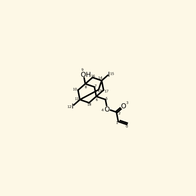 C=CC(=O)OCC12CC3(O)CC(I)(CC(I)(C3)C1)C2